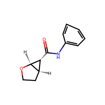 O=C(Nc1ccccc1)[C@@H]1[C@H]2CCO[C@H]21